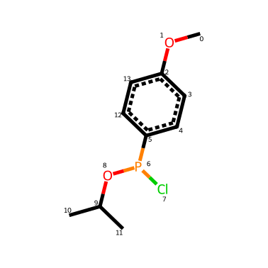 COc1ccc(P(Cl)OC(C)C)cc1